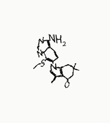 CCSc1c(-n2cc(C)c3c2CC(C)(C)CC3=O)ccc2c(N)ncnc12